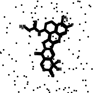 CC[C@@]1(O)C(=O)OCc2c1cc1n(c2=O)Cc2c-1nc1cc(F)c(C)c3c1c2C(NC(=O)CN)CC3